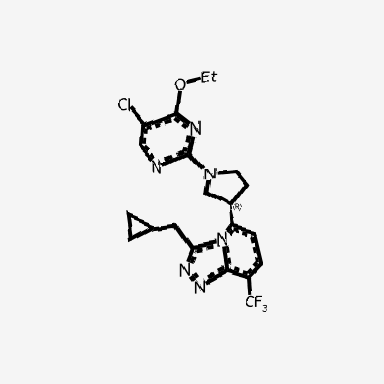 CCOc1nc(N2CC[C@@H](c3ccc(C(F)(F)F)c4nnc(CC5CC5)n34)C2)ncc1Cl